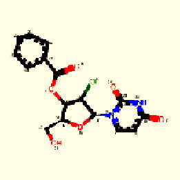 O=C(OC1C(Cl)[C@@H](n2ccc(=O)[nH]c2=O)O[C@H]1CO)c1ccccc1